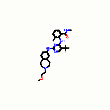 CNC(=O)c1cccc(C)c1Nc1nc(Nc2ccc3c(c2)CCN(CCOC)CC3)ncc1C(F)(F)F